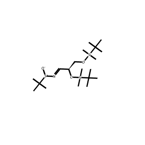 CC(C)(C)[S+]([O-])N=C[C@@H](CO[Si](C)(C)C(C)(C)C)O[Si](C)(C)C(C)(C)C